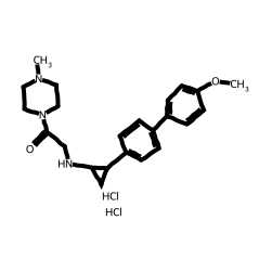 COc1ccc(-c2ccc(C3CC3NCC(=O)N3CCN(C)CC3)cc2)cc1.Cl.Cl